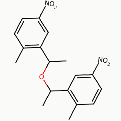 Cc1ccc([N+](=O)[O-])cc1C(C)OC(C)c1cc([N+](=O)[O-])ccc1C